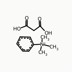 C[N+](C)(C)c1ccccc1.O=C(O)CC(=O)O